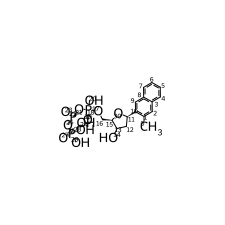 Cc1cc2ccccc2cc1[C@H]1CC(O)[C@@H](COP(=O)(O)OP(=O)(O)OP(=O)(O)O)O1